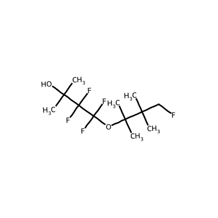 CC(C)(O)C(F)(F)C(F)(F)OC(C)(C)C(C)(C)CF